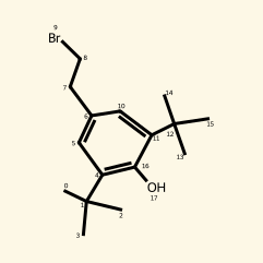 CC(C)(C)c1cc(CCBr)cc(C(C)(C)C)c1O